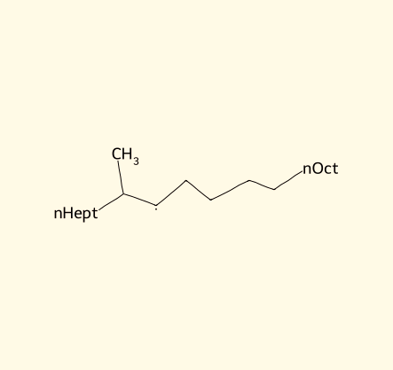 CCCCCCCCCCCC[CH]C(C)CCCCCCC